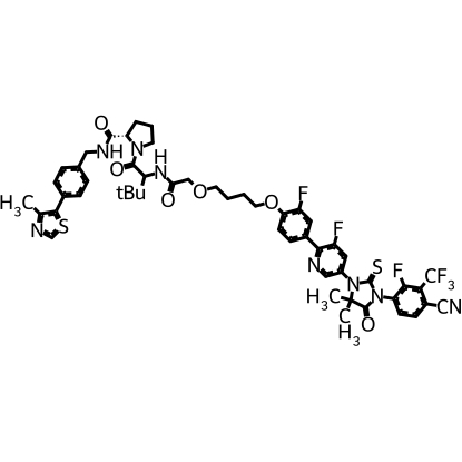 Cc1ncsc1-c1ccc(CNC(=O)[C@@H]2CCCN2C(=O)C(NC(=O)COCCCCOc2ccc(-c3ncc(N4C(=S)N(c5ccc(C#N)c(C(F)(F)F)c5F)C(=O)C4(C)C)cc3F)cc2F)C(C)(C)C)cc1